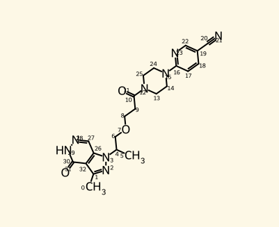 Cc1nn(C(C)COCCC(=O)N2CCN(c3ccc(C#N)cn3)CC2)c2cn[nH]c(=O)c12